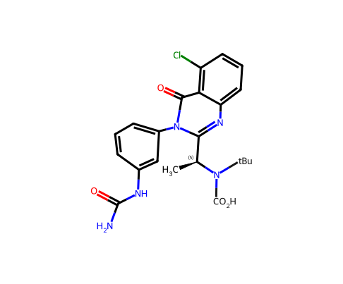 C[C@@H](c1nc2cccc(Cl)c2c(=O)n1-c1cccc(NC(N)=O)c1)N(C(=O)O)C(C)(C)C